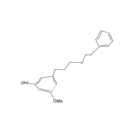 COc1cc(C=O)cc(CCCCCCc2ccccc2)c1